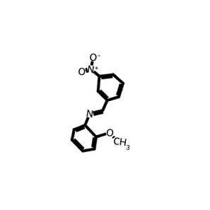 COc1ccccc1N=Cc1cccc([N+](=O)[O-])c1